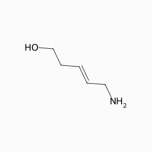 NC/C=C/CCO